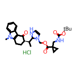 CC(C1NC=CN1COC(=O)C1(CNC(=O)OC(C)(C)C)CC1)[C@H]1CCc2c(c3ccccc3n2C)C1=O.Cl